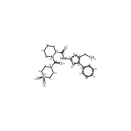 CCc1sc(NC(=O)[C@@H]2CCCCN2C(=O)N2CCS(=O)(=O)CC2)nc1-c1ccccc1